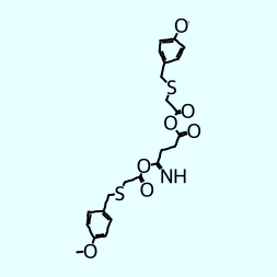 COc1ccc(CSCC(=O)OC(=N)CCC(=O)OC(=O)CSCc2ccc(OC)cc2)cc1